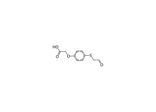 O=CCSc1ccc(OCC(=O)O)cc1